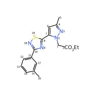 CCOC(=O)Cn1nc(C)cc1-c1nc(-c2cccc(C)c2)ns1